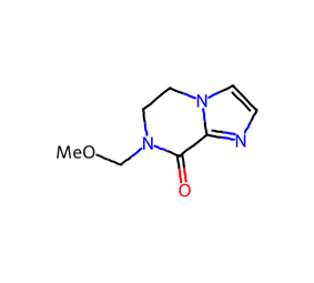 COCN1CCn2ccnc2C1=O